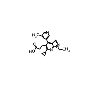 CCn1ncc2c(-c3cncc(C)c3)c(CCC(=O)O)c(C3CC3)nc21